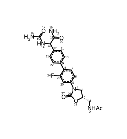 CC(=O)NC[C@H]1CN(c2ccc(-c3ccc([C@@H](NC(N)=O)C(N)=O)cc3)c(F)c2)C(=O)O1